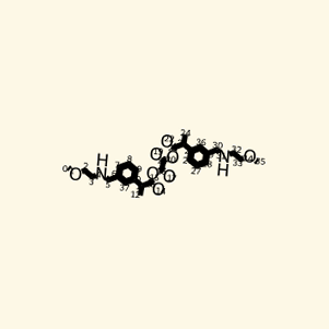 COCCNCc1cccc(C(C)C(=O)OC(=O)C(=O)OC(=O)C(C)c2cccc(CNCCOC)c2)c1